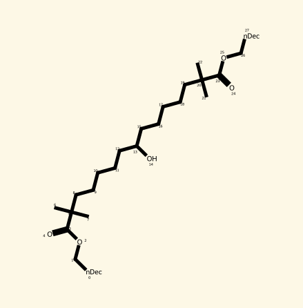 CCCCCCCCCCCOC(=O)C(C)(C)CCCCCC(O)CCCCCC(C)(C)C(=O)OCCCCCCCCCCC